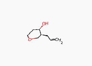 C=CC[C@H]1COCC[C@H]1O